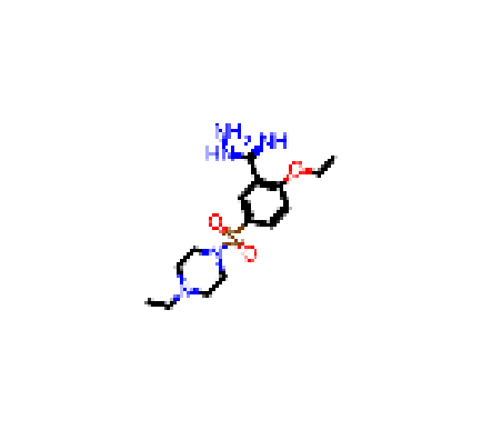 CCOc1ccc(S(=O)(=O)N2CCN(CC)CC2)cc1C(=N)NN